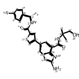 C[C@H](NC(=O)c1cc(-c2cc(C(=O)NC(C)(C)CO)c3nc(N)nn3c2)cs1)c1ccc(F)cc1